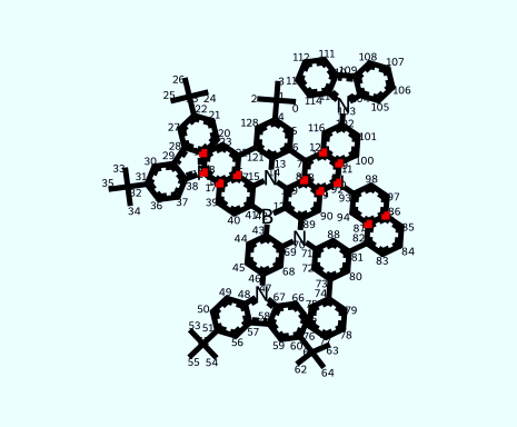 CC(C)(C)c1cc(-c2ccccc2)c(N2c3cc(-n4c5ccc(C(C)(C)C)cc5c5cc(C(C)(C)C)ccc54)ccc3B3c4ccc(-n5c6ccc(C(C)(C)C)cc6c6cc(C(C)(C)C)ccc65)cc4N(c4cc(-c5ccccc5)cc(-c5ccccc5)c4)c4cc(N(c5ccccc5)c5ccc(-n6c7ccccc7c7ccccc76)cc5)cc2c43)c(-c2ccccc2)c1